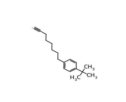 [C]#CCCCCCCc1ccc(C(C)(C)C)cc1